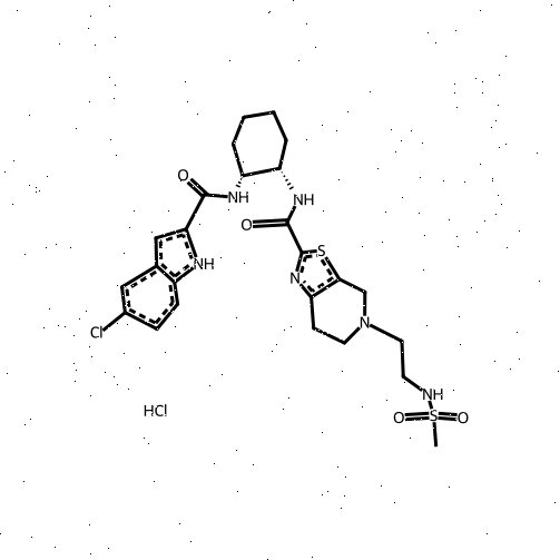 CS(=O)(=O)NCCN1CCc2nc(C(=O)N[C@H]3CCCC[C@H]3NC(=O)c3cc4cc(Cl)ccc4[nH]3)sc2C1.Cl